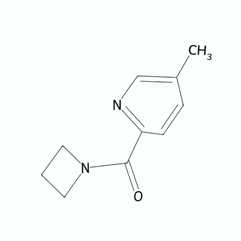 Cc1ccc(C(=O)N2CCC2)nc1